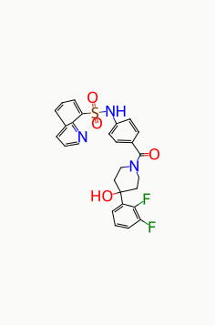 O=C(c1ccc(NS(=O)(=O)c2cccc3cccnc23)cc1)N1CCC(O)(c2cccc(F)c2F)CC1